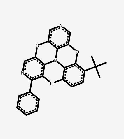 CC(C)(C)c1ccc2c3c1Oc1cncc4c1B3c1c(cnc(-c3ccccc3)c1O2)O4